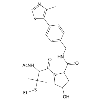 CCSC(C)(C)C(NC(C)=O)C(=O)N1CC(O)CC1C(=O)NCc1ccc(-c2scnc2C)cc1